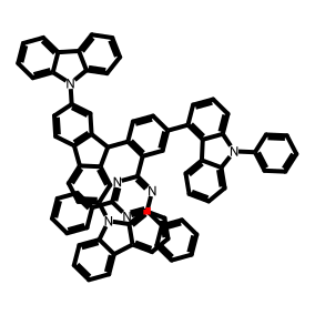 c1ccc(-c2nc(-c3ccccc3)nc(-c3cc(-c4cccc5c4c4ccccc4n5-c4ccccc4)ccc3C3c4cc(-n5c6ccccc6c6ccccc65)ccc4-c4ccc(-n5c6ccccc6c6ccccc65)cc43)n2)cc1